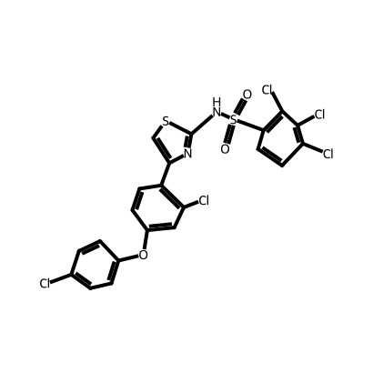 O=S(=O)(Nc1nc(-c2ccc(Oc3ccc(Cl)cc3)cc2Cl)cs1)c1ccc(Cl)c(Cl)c1Cl